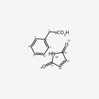 O=C(O)Cc1ccccc1.O=C1C=CC(=O)N1